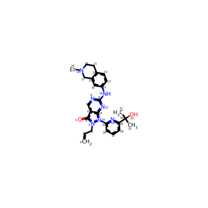 C=CCn1c(=O)c2cnc(Nc3ccc4c(c3)CN(CC)CC4)nc2n1-c1cccc(C(C)(C)O)n1